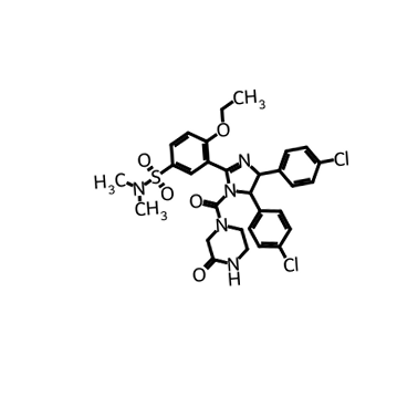 CCOc1ccc(S(=O)(=O)N(C)C)cc1C1=NC(c2ccc(Cl)cc2)C(c2ccc(Cl)cc2)N1C(=O)N1CCNC(=O)C1